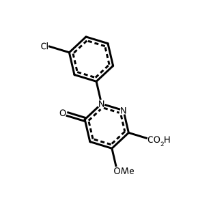 COc1cc(=O)n(-c2cccc(Cl)c2)nc1C(=O)O